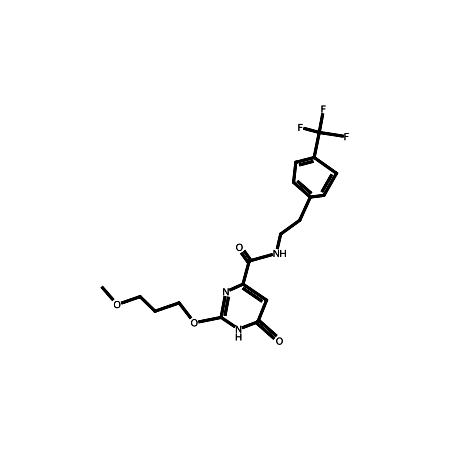 COCCCOc1nc(C(=O)NCCc2ccc(C(F)(F)F)cc2)cc(=O)[nH]1